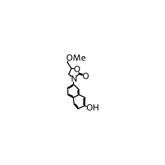 COCC1CN(c2ccc3ccc(O)cc3c2)C(=O)O1